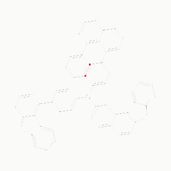 c1ccc(-c2cccc3cccc(-c4ccc(N(c5ccc(-c6cccc7sc8ccccc8c67)cc5)c5ccc6ccc7sc8ccccc8c7c6c5)cc4)c23)cc1